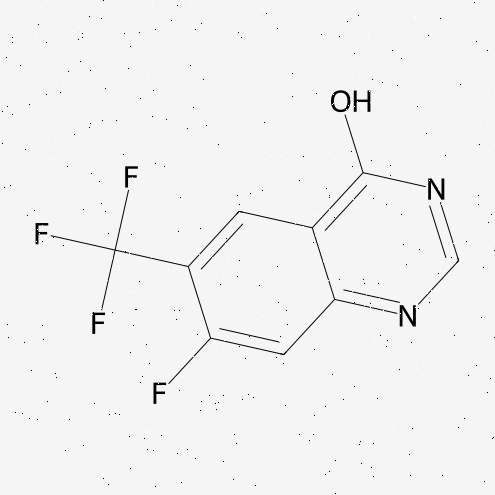 Oc1ncnc2cc(F)c(C(F)(F)F)cc12